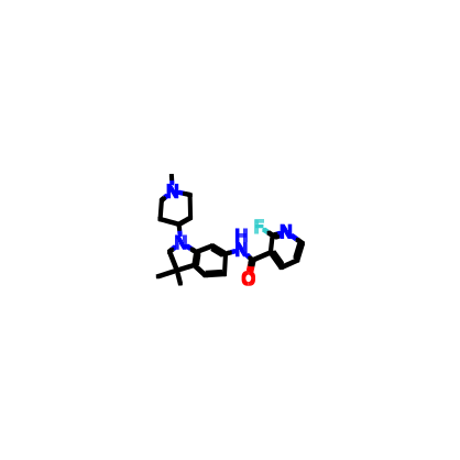 CN1CCC(N2CC(C)(C)c3ccc(NC(=O)c4cccnc4F)cc32)CC1